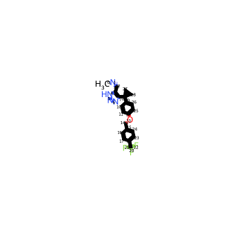 C/N=C\c1[nH]nnc1C1(c2ccc(OCc3ccc(C(F)(F)F)cc3)cc2)CC1